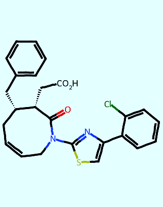 O=C(O)C[C@@H]1C(=O)N(c2nc(-c3ccccc3Cl)cs2)C/C=C\C[C@@H]1Cc1ccccc1